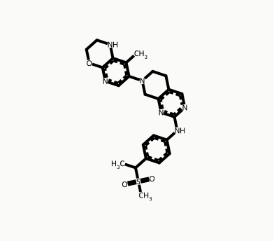 Cc1c(N2CCc3cnc(Nc4ccc(C(C)S(C)(=O)=O)cc4)nc3C2)cnc2c1NCCO2